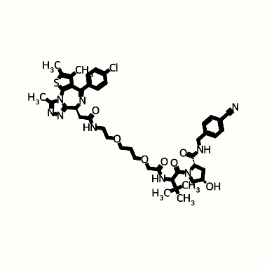 Cc1sc2c(c1C)C(c1ccc(Cl)cc1)=N[C@@H](CC(=O)NCCOCCCOCC(=O)NC(C(=O)N1C[C@H](O)C[C@H]1C(=O)NCc1ccc(C#N)cc1)C(C)(C)C)c1nnc(C)n1-2